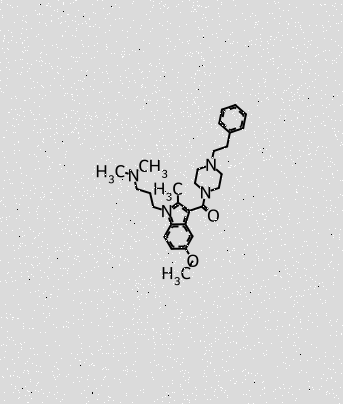 COc1ccc2c(c1)c(C(=O)N1CCN(CCc3ccccc3)CC1)c(C)n2CCCN(C)C